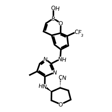 Cc1cnc(Nc2cc3c(c(C(F)(F)F)c2)OB(O)C=C3)nc1N[C@@H]1COCC[C@H]1C#N